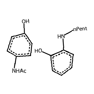 CC(=O)Nc1ccc(O)cc1.CCCCCNc1ccccc1O